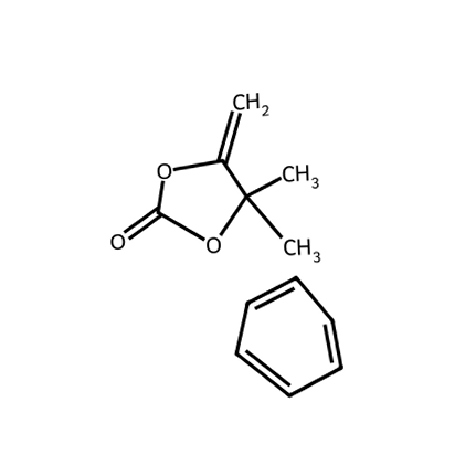 C=C1OC(=O)OC1(C)C.c1ccccc1